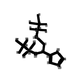 CC(C)(C)[Si](C)(C)OCC(O[Si](C)(C)C(C)(C)C)c1cncs1